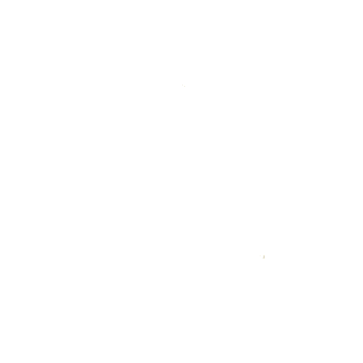 NCCOB(c1ccccc1)c1ccc(COc2ccc(B(OCCN)c3ccccc3)cc2)cc1